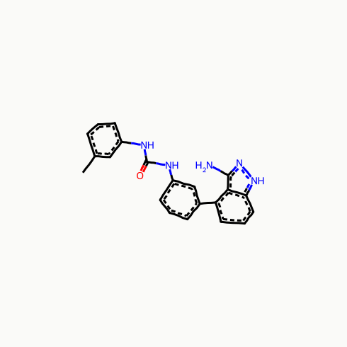 Cc1cccc(NC(=O)Nc2cccc(-c3cccc4[nH]nc(N)c34)c2)c1